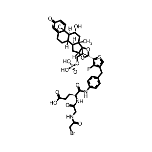 C[C@]12C=CC(=O)C=C1CC[C@@H]1[C@@H]2[C@@H](O)C[C@@]2(C)[C@H]1C[C@H]1O[C@@H](c3scc(Cc4ccc(NC(=O)[C@H](CCC(=O)O)NC(=O)CNC(=O)CBr)cc4)c3F)O[C@]12C(=O)COP(=O)(O)O